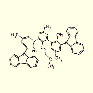 COCCOc1c(-c2cc(C)cc(-n3c4ccccc4c4ccccc43)c2O)cc(C)cc1-c1cc(C)cc(-n2c3ccccc3c3ccccc32)c1O